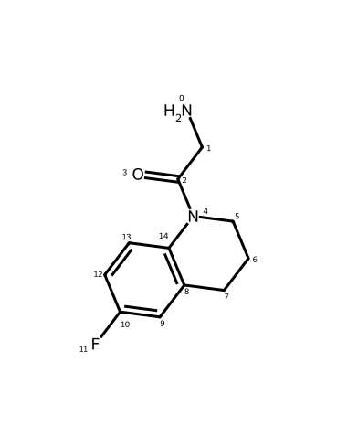 NCC(=O)N1CCCc2cc(F)ccc21